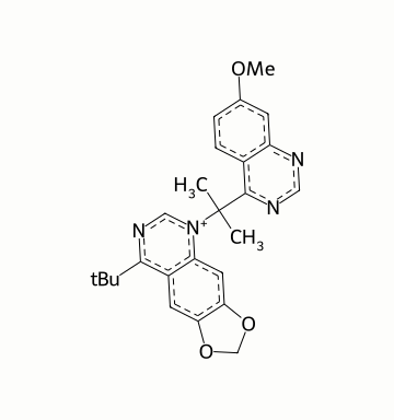 COc1ccc2c(C(C)(C)[n+]3cnc(C(C)(C)C)c4cc5c(cc43)OCO5)ncnc2c1